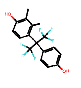 Cc1c(O)ccc(C(c2ccc(O)cc2)(C(F)(F)F)C(F)(F)F)c1C